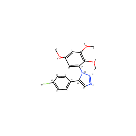 COc1cc(OC)c(OC)c(-n2nncc2-c2ccc(F)cc2)c1